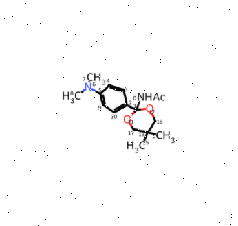 CC(=O)NC1(c2ccc(N(C)C)cc2)OCC(C)(C)CO1